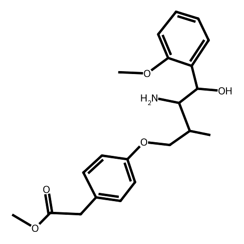 COC(=O)Cc1ccc(OCC(C)C(N)C(O)c2ccccc2OC)cc1